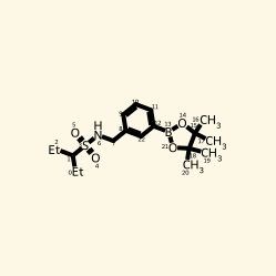 CCC(CC)S(=O)(=O)NCc1cccc(B2OC(C)(C)C(C)(C)O2)c1